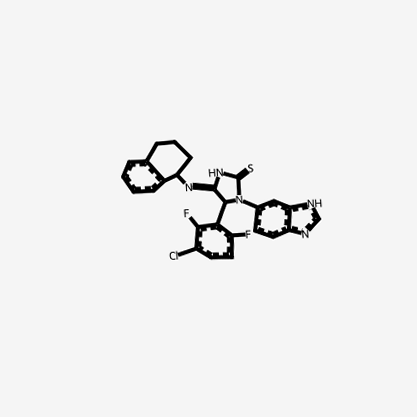 Fc1ccc(Cl)c(F)c1C1C(=NC2CCCc3ccccc32)NC(=S)N1c1ccc2nc[nH]c2c1